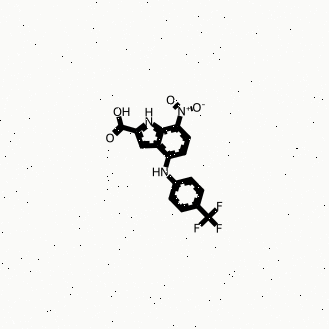 O=C(O)c1cc2c(Nc3ccc(C(F)(F)F)cc3)ccc([N+](=O)[O-])c2[nH]1